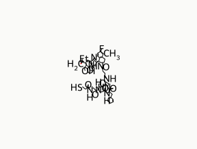 C=C(CC)c1cc2n(c(=O)c1CO)Cc1c-2nc2cc(F)c(C)c3c2c1[C@@H](NC(=O)CCCNC(=O)CNC(=O)C(Cc1ccccc1)NC(=O)CNC(=O)CNC(=O)CCS)CC3